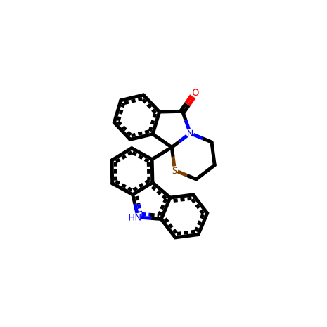 O=C1c2ccccc2C2(c3cccc4[nH]c5ccccc5c34)SCCCN12